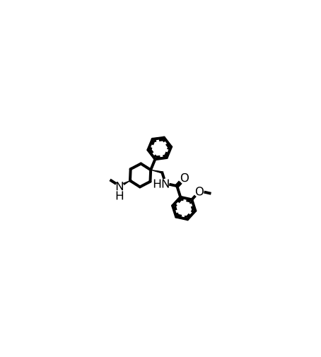 CN[C@H]1CC[C@](CNC(=O)c2ccccc2OC)(c2ccccc2)CC1